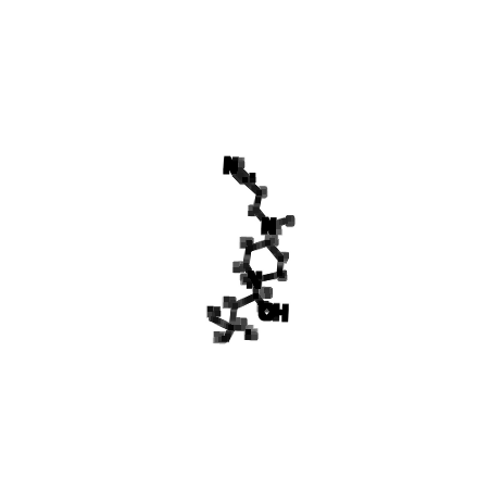 CN(CCC#N)C1CCN(C(O)CC(C)(C)C)CC1